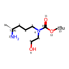 C[C@@H](N)CCCN(CCO)C(=O)OC(C)(C)C